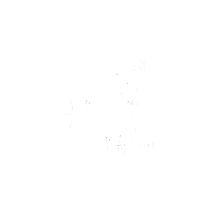 CN1CCC(C(F)(F)F)NCC[C]([Ti+3])(C(F)(F)F)N(C)CCC1C(F)(F)F.[Cl-].[Cl-].[Cl-]